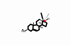 CN[C@H]1CC[C@@]2(C)C(=CC[C@@H]3C2CC[C@]24CN(C)[C@@H](C)[C@H]2CC[C@@H]34)C1